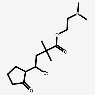 CCC(CC(C)(C)C(=O)OCCN(C)C)C1CCCC1=O